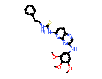 COc1cc(Nc2cnc3ccc(NC(=S)NCCc4ccccc4)nc3n2)cc(OC)c1OC